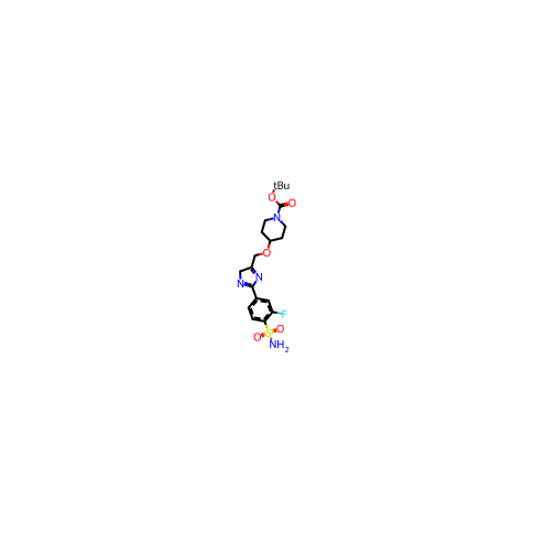 CC(C)(C)OC(=O)N1CCC(OCC2=NC(c3ccc(S(N)(=O)=O)c(F)c3)=NC2)CC1